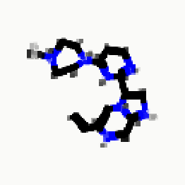 C=Cc1cn2c(-c3nccc(N4CCN(CC)CC4)n3)cnc2cn1